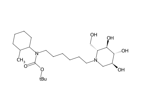 CC1CCCCC1N(CCCCCCN1C[C@H](O)[C@@H](O)[C@H](O)[C@H]1CO)C(=O)OC(C)(C)C